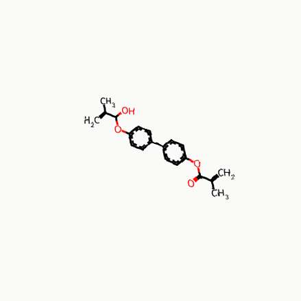 C=C(C)C(=O)Oc1ccc(-c2ccc(OC(O)C(=C)C)cc2)cc1